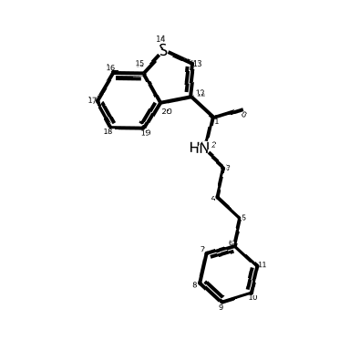 CC(NCCCc1ccccc1)c1csc2ccccc12